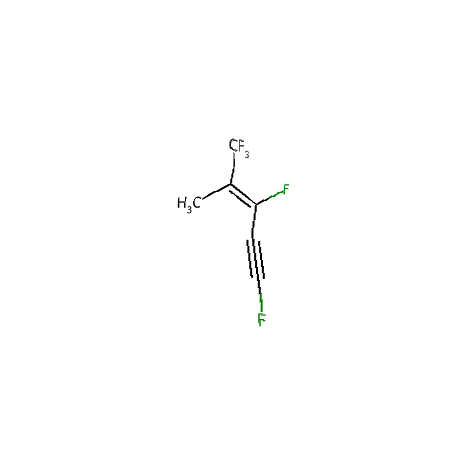 CC(=C(F)C#CF)C(F)(F)F